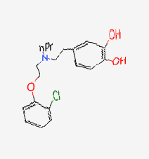 CCCN(CCOc1ccccc1Cl)CCc1ccc(O)c(O)c1